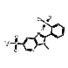 CCS(=O)(=O)c1ccccc1-c1nc2cc(S(=O)(=O)C(F)(F)F)cnc2n1C